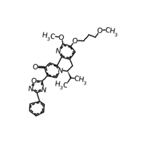 COCCCOc1cc2c(nc1OC)-c1cc(=O)c(-c3nc(-c4ccccc4)no3)cn1[C@H](C(C)C)C2